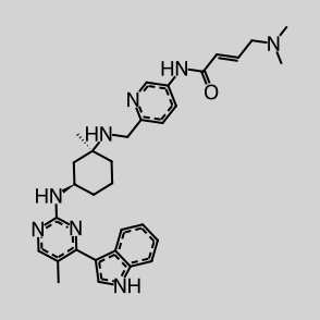 Cc1cnc(N[C@@H]2CCC[C@](C)(NCc3ccc(NC(=O)/C=C/CN(C)C)cn3)C2)nc1-c1c[nH]c2ccccc12